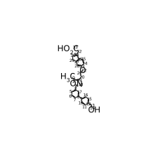 Cc1oc(-c2cccc(-c3ccc(CO)cc3)c2)nc1CCOc1ccc2c(c1)CC[C@H]2CC(=O)O